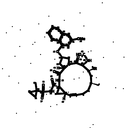 CC[C@@H]1C[C@H](C)CC/C=C\[C@@H]2C[C@@]2(C(=O)NS(=O)(=O)C2(C)CC2)NC(=O)[C@@H]2C[C@@H](Oc3nc(OC)cc4ccccc34)CN2C(=O)[C@H]1NC(=O)O